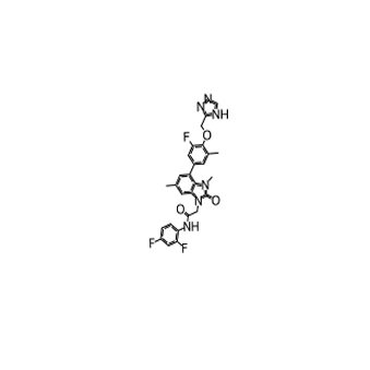 Cc1cc(-c2cc(C)c(OCc3nnc[nH]3)c(F)c2)c2c(c1)n(CC(=O)Nc1ccc(F)cc1F)c(=O)n2C